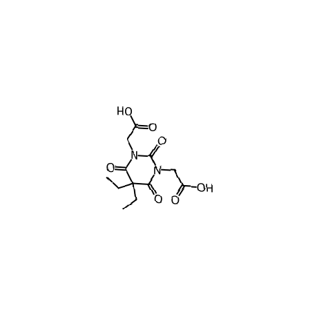 CCC1(CC)C(=O)N(CC(=O)O)C(=O)N(CC(=O)O)C1=O